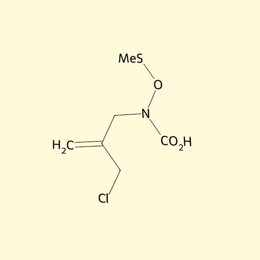 C=C(CCl)CN(OSC)C(=O)O